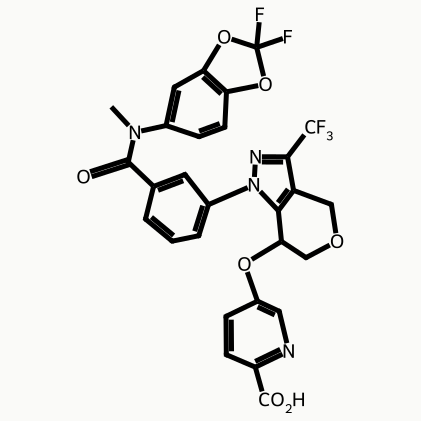 CN(C(=O)c1cccc(-n2nc(C(F)(F)F)c3c2C(Oc2ccc(C(=O)O)nc2)COC3)c1)c1ccc2c(c1)OC(F)(F)O2